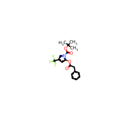 CC(C)(C)OC(=O)n1cc(C(F)(F)F)cc1OC(=O)Cc1ccccc1